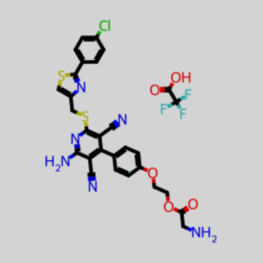 N#Cc1c(N)nc(SCc2csc(-c3ccc(Cl)cc3)n2)c(C#N)c1-c1ccc(OCCOC(=O)CN)cc1.O=C(O)C(F)(F)F